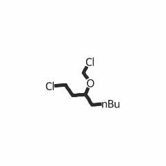 CCCCCC(CCCl)OCCl